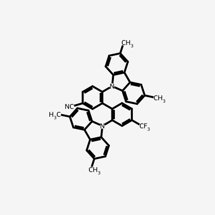 Cc1ccc2c(c1)c1cc(C)ccc1n2-c1ccc(C#N)cc1-c1ccc(C(F)(F)F)cc1-n1c2ccc(C)cc2c2cc(C)ccc21